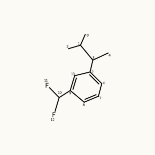 CC(C)C(C)c1cccc(C(F)F)c1